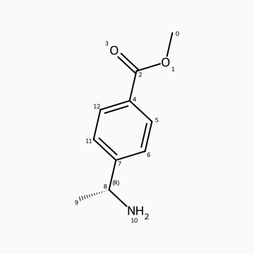 COC(=O)c1ccc([C@@H](C)N)cc1